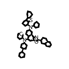 c1ccc(-c2ccc(N(c3ccccc3)c3cc4oc(-c5ccc6ccccc6c5)nc4c4cc(N(c5ccccc5)c5cccc6c5sc5ccccc56)ccc34)cc2)cc1